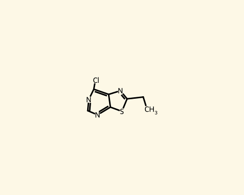 CCc1nc2c(Cl)ncnc2s1